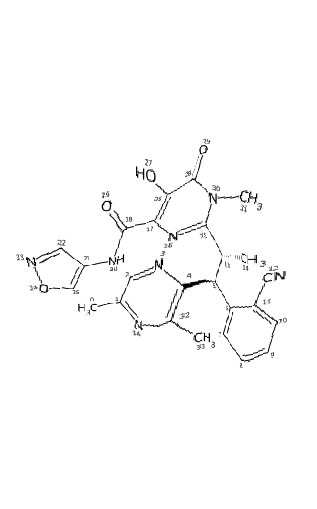 Cc1cnc([C@H](c2ccccc2C#N)[C@@H](C)c2nc(C(=O)Nc3cnoc3)c(O)c(=O)n2C)c(C)n1